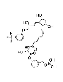 CC(NC(=O)CCC/C=C\C[C@@H]1[C@@H](/C=C/[C@@H](O)COc2cccc(C(F)(F)F)c2)[C@H](O)C[C@@H]1O)C(=O)Oc1cccc(CON(O)O)c1